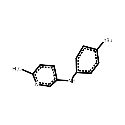 CCCCc1ccc(Nc2ccc(C)nc2)cc1